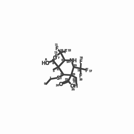 CCSC1C(C)(C(=O)O)C(C(F)(F)F)NC(C(F)(F)F)C1(CC)C(=O)O